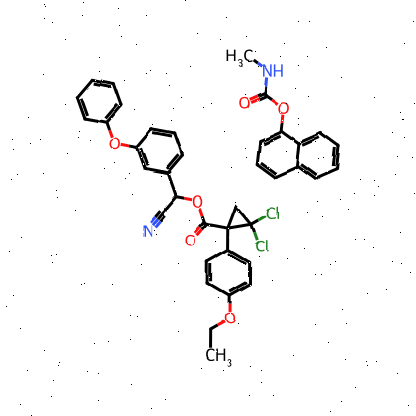 CCOc1ccc(C2(C(=O)OC(C#N)c3cccc(Oc4ccccc4)c3)CC2(Cl)Cl)cc1.CNC(=O)Oc1cccc2ccccc12